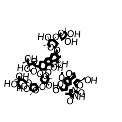 CO[C@H](C(=O)[C@@H](O)[C@@H](C)O)C1Cc2cc3cc(O[C@H]4C[C@@H](O[C@H]5C[C@@H](O)[C@H](O)[C@@H](C)O5)[C@@H](O)[C@@H](C)O4)c(C)c(O)c3c(O)c2C(=O)[C@H]1O[C@H]1C[C@@H](O[C@H]2C[C@@H](O[C@H]3C[C@](C)(O)[C@H](O)[C@@H](C)O3)[C@H](O)[C@@H](C)O2)[C@H](O)[C@@H](C)O1.COc1c2occc2cc2ccc(=O)oc12.Cc1cn([C@H]2C=C[C@@H](CO)O2)c(=O)[nH]c1=O